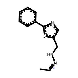 C/C=N\NCc1cnc(-c2ccccc2)s1